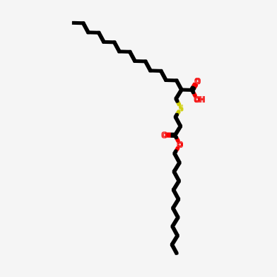 CCCCCCCCCCCCCCC(CSCCC(=O)OCCCCCCCCCCCC)C(=O)O